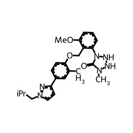 COc1cccc(N2NNN(C)C2=O)c1COc1ccc(-c2ccn(CC(C)C)n2)cc1C